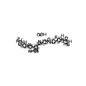 CCC1(C(=O)N[C@H](C)C(F)(F)F)CCN(c2ccc(-c3cc(-c4cnn(C5CCN(C(=O)CN6CCC(c7ccc(NC8CCC(=O)NC8=O)cc7F)CC6)CC5)c4)cn4ncc(C#N)c34)cn2)CC1.O=CO